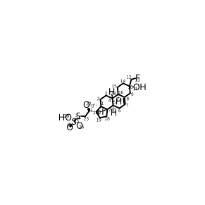 C[C@]12CC[C@H]3[C@@H](CC=C4C[C@](O)(CF)CC[C@@H]43)[C@@H]1CC[C@@H]2C(=O)CSS(=O)(=O)O